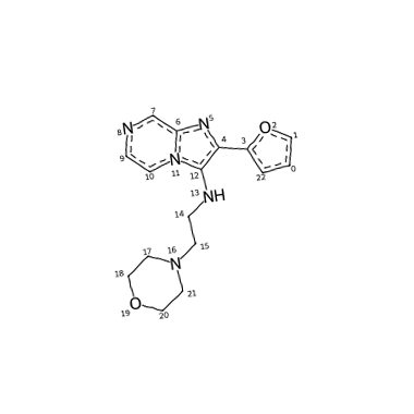 c1coc(-c2nc3cnccn3c2NCCN2CCOCC2)c1